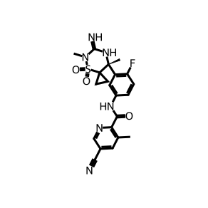 Cc1cc(C#N)cnc1C(=O)Nc1ccc(F)c([C@@]2(C)NC(=N)N(C)S(=O)(=O)C23CC3)c1